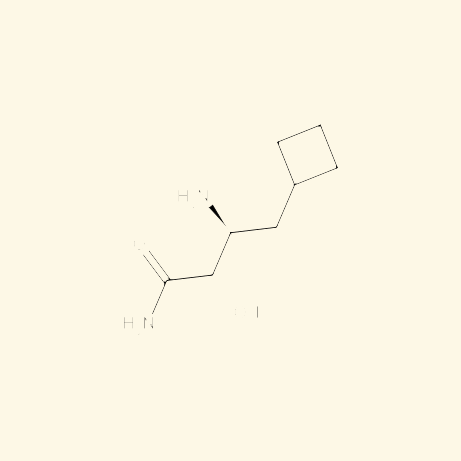 NC(=O)[C@@H](O)[C@@H](N)CC1CCC1